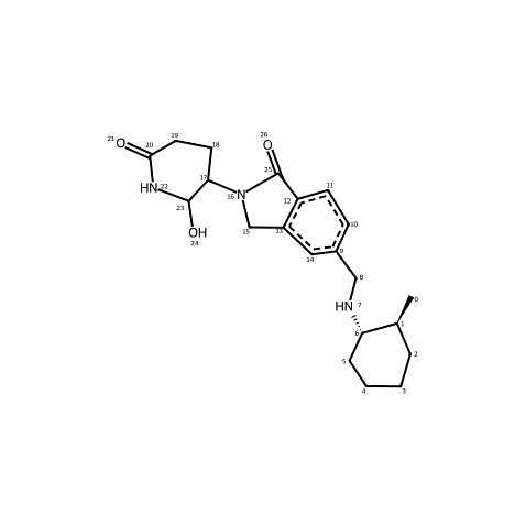 C[C@H]1CCCC[C@@H]1NCc1ccc2c(c1)CN(C1CCC(=O)NC1O)C2=O